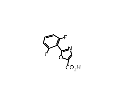 O=C(O)c1cnc(-c2c(F)cccc2F)o1